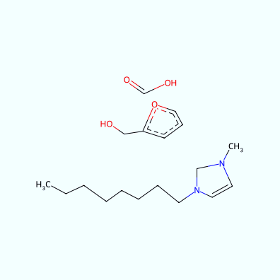 CCCCCCCCN1C=CN(C)C1.O=CO.OCc1ccco1